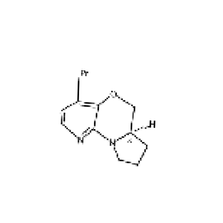 CC(C)c1ccnc2c1OC[C@H]1CCCN21